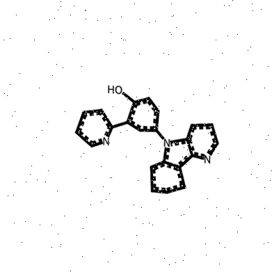 Oc1ccc(-n2c3ccccc3c3ncccc32)cc1-c1ccccn1